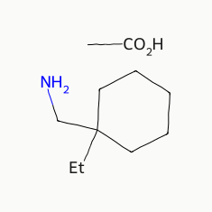 CC(=O)O.CCC1(CN)CCCCC1